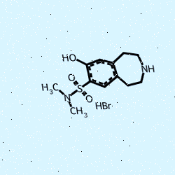 Br.CN(C)S(=O)(=O)c1cc2c(cc1O)CCNCC2